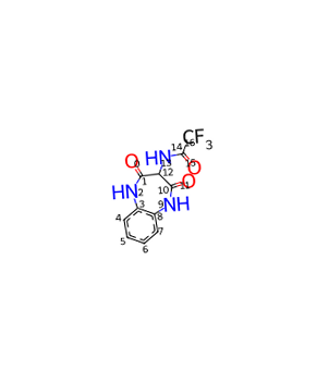 O=C1Nc2ccccc2NC(=O)C1NC(=O)C(F)(F)F